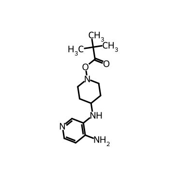 CC(C)(C)C(=O)ON1CCC(Nc2cnccc2N)CC1